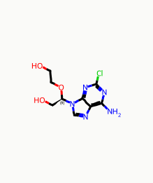 Nc1nc(Cl)nc2c1ncn2[C@@H](CO)OCCO